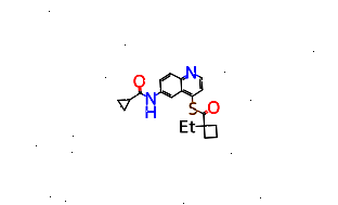 CCC1(C(=O)Sc2ccnc3ccc(NC(=O)C4CC4)cc23)CCC1